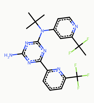 CC(F)(F)c1cc(N(c2nc(N)nc(-c3cccc(C(F)(F)F)n3)n2)C(C)(C)C)ccn1